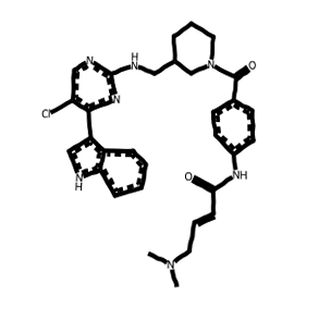 CN(C)CC=CC(=O)Nc1ccc(C(=O)N2CCCC(CNc3ncc(Cl)c(-c4c[nH]c5ccccc45)n3)C2)cc1